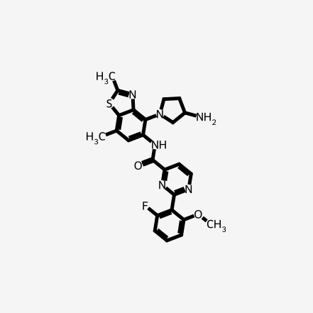 COc1cccc(F)c1-c1nccc(C(=O)Nc2cc(C)c3sc(C)nc3c2N2CCC(N)C2)n1